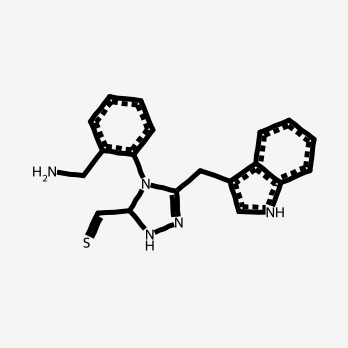 NCc1ccccc1N1C(Cc2c[nH]c3ccccc23)=NNC1C=S